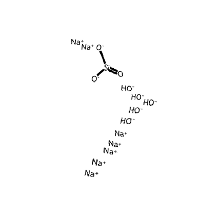 O=[Si]([O-])[O-].[Na+].[Na+].[Na+].[Na+].[Na+].[Na+].[Na+].[OH-].[OH-].[OH-].[OH-].[OH-]